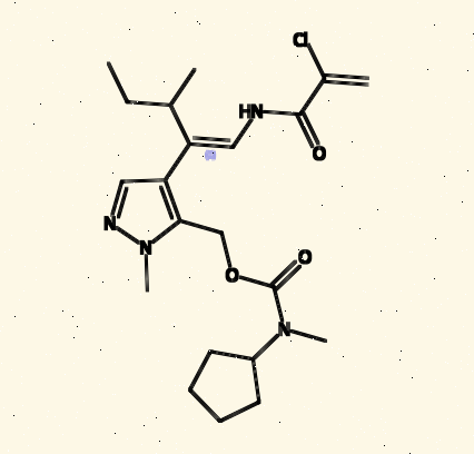 C=C(Cl)C(=O)N/C=C(/c1cnn(C)c1COC(=O)N(C)C1CCCC1)C(C)CC